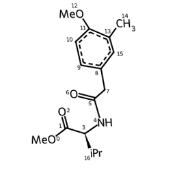 COC(=O)[C@@H](NC(=O)Cc1ccc(OC)c(C)c1)C(C)C